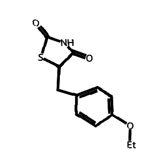 [CH2]COc1ccc(CC2SC(=O)NC2=O)cc1